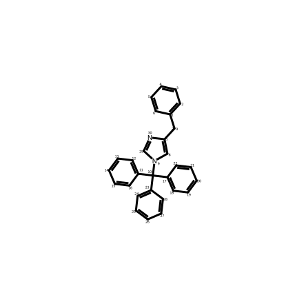 [C](c1ccccc1)c1cn(C(c2ccccc2)(c2ccccc2)c2ccccc2)cn1